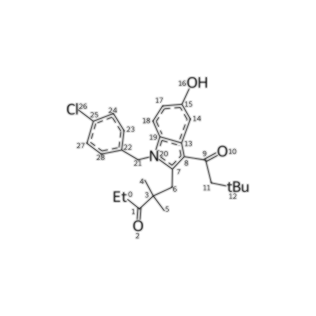 CCC(=O)C(C)(C)Cc1c(C(=O)CC(C)(C)C)c2cc(O)ccc2n1Cc1ccc(Cl)cc1